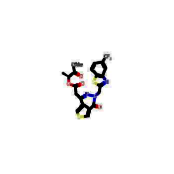 COC(=O)[C@H](C)OC(=O)Cc1nn(Cc2nc3cc(C(F)(F)F)ccc3s2)c(=O)c2cscc12